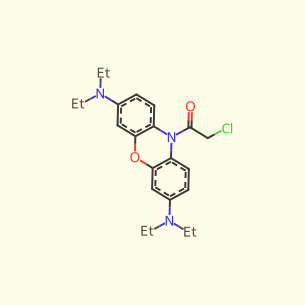 CCN(CC)c1ccc2c(c1)Oc1cc(N(CC)CC)ccc1N2C(=O)CCl